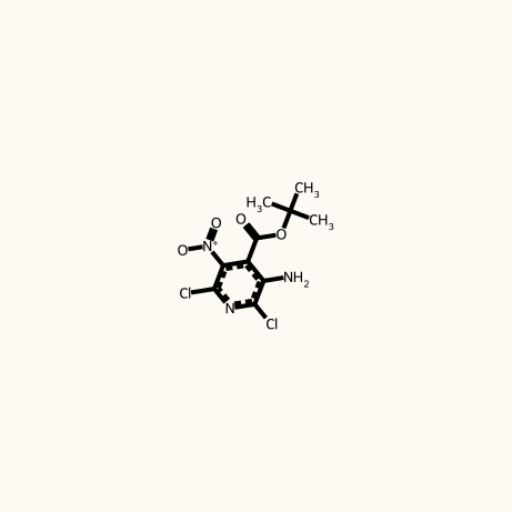 CC(C)(C)OC(=O)c1c(N)c(Cl)nc(Cl)c1[N+](=O)[O-]